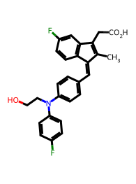 CC1=C(CC(=O)O)c2cc(F)ccc2C1=Cc1ccc(N(CCO)c2ccc(F)cc2)cc1